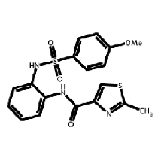 COc1ccc(S(=O)(=O)Nc2ccccc2NC(=O)c2csc(C)n2)cc1